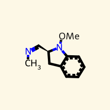 C/N=C\[C@@H]1Cc2ccccc2N1OC